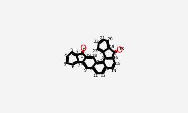 O=c1c2ccccc2c2cc3ccc4ccc5c(=O)c6ccccc6c5c4c3cc12